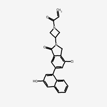 C=CC(=O)N1CC(N2Cc3c(Cl)cc(-c4cc(O)cc5ccccc45)cc3C2=O)C1